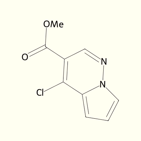 COC(=O)c1cnn2cccc2c1Cl